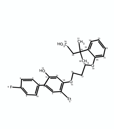 CCc1cc(-c2ccc(F)cc2)c(O)cc1OCCCOc1ccccc1C(C)(C)CC(=O)O